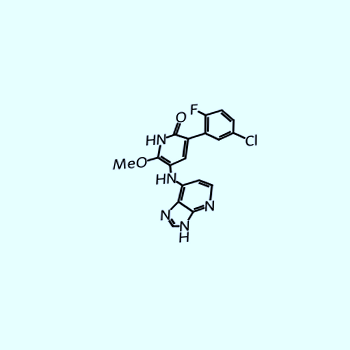 COc1[nH]c(=O)c(-c2cc(Cl)ccc2F)cc1Nc1ccnc2[nH]cnc12